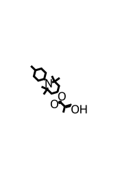 CC(=CO)C(=O)OC1CC(C)(C)N(C2CCC(C)CC2)C(C)(C)C1